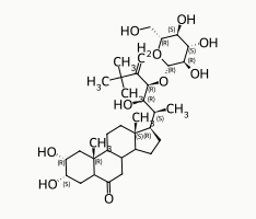 C=C([C@@H](O[C@@H]1O[C@H](CO)[C@@H](O)[C@H](O)[C@H]1O)[C@H](O)[C@@H](C)[C@H]1CCC2C3CC(=O)C4C[C@H](O)[C@H](O)C[C@]4(C)C3CC[C@@]21C)C(C)(C)C